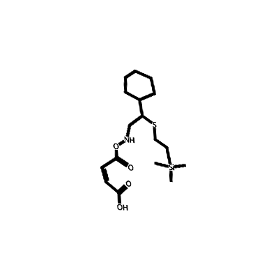 C[Si](C)(C)CCSC(CNOC(=O)/C=C\C(=O)O)C1CCCCC1